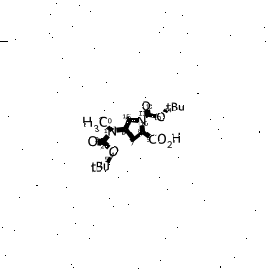 CN(C(=O)OC(C)(C)C)C1CC(C(=O)O)N(C(=O)OC(C)(C)C)C1